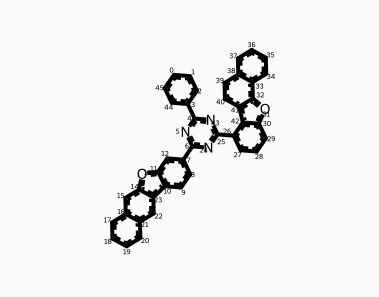 c1ccc(-c2nc(-c3ccc4c(c3)oc3cc5ccccc5cc34)nc(-c3cccc4oc5c6ccccc6ccc5c34)n2)cc1